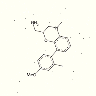 COc1ccc(-c2cccc3c2OC(CN)CN3C)c(C)c1